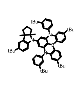 CC(C)(C)c1cccc(N2c3cc(C(C)(C)C)ccc3B3c4ccc(C(C)(C)C)cc4N(c4cccc(C(C)(C)C)c4)c4cc(N5c6ccc(C(C)(C)C)cc6C6(C)CCCC56C)cc2c43)c1